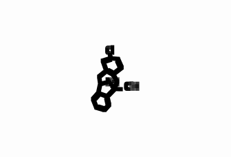 CC12Cc3ccc(Cl)cc3CC(N1)c1ccccc12.Cl